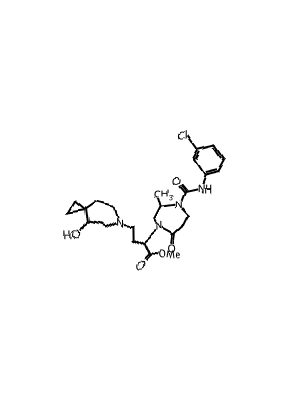 COC(=O)C(CCN1CCC2(CC2)C(O)C1)N1CC(C)N(C(=O)Nc2cccc(Cl)c2)CCC1=O